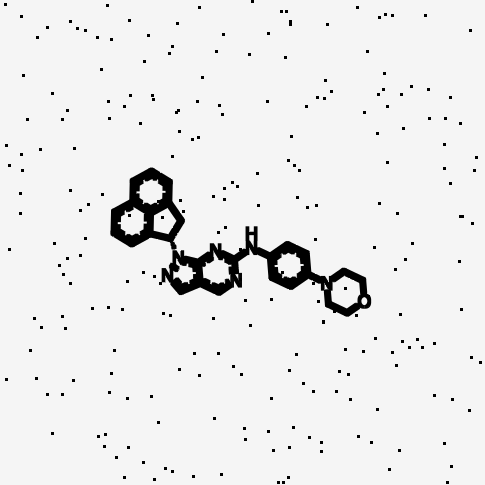 c1cc2c3c(cccc3c1)[C@@H](n1ncc3cnc(Nc4ccc(N5CCOCC5)cc4)nc31)C2